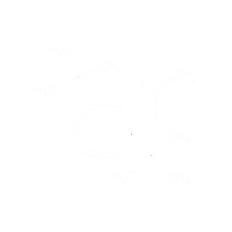 C=CCC1(C(C)(C)C)C=CC=C(C(C)(C)C)C1O